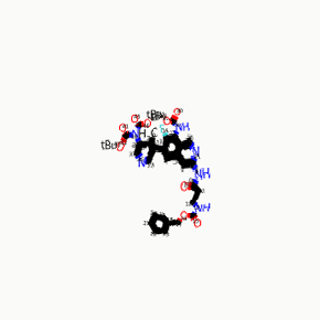 Cc1c(-c2cc3cc(NC(=O)CCNC(=O)OCc4ccccc4)ncc3c(NC(=O)OC(C)(C)C)c2F)cncc1N(C(=O)OC(C)(C)C)C(=O)OC(C)(C)C